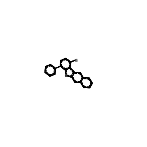 Clc1ccc(-c2ccccc2)c2oc3cc4ccccc4cc3c12